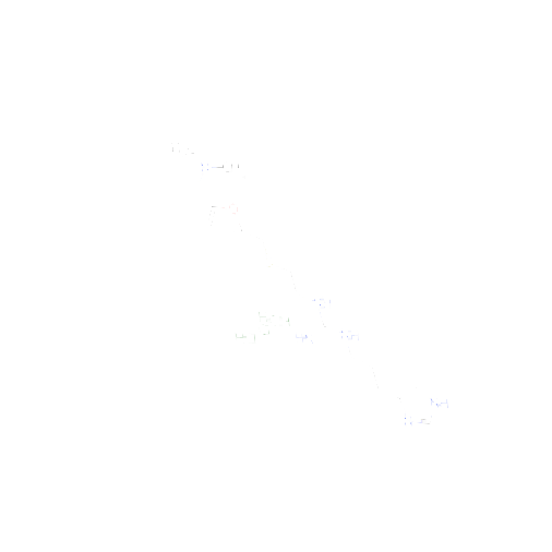 CN(C)Cc1ccc(CSCCNC(=N)NCCCc2c[nH]cn2)o1.Cl.Cl.Cl